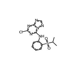 CC(C)S(=O)(=O)c1ccccc1Nc1nc(Cl)nc2ncnn12